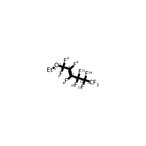 CCOC(F)(F)C(F)=C(F)C(F)(F)C(F)(F)C(F)(F)F